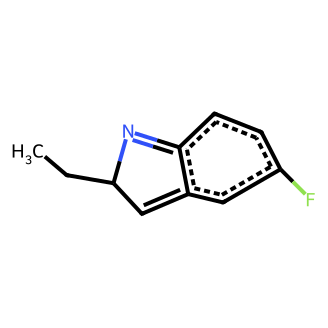 CCC1C=c2cc(F)ccc2=N1